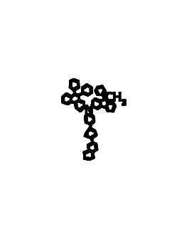 CC1(c2ccccc2)c2ccccc2-c2cc(N(c3ccc(-c4ccc(-c5ccc6ccccc6c5)cc4)cc3)c3ccc4c(c3)c(-c3ccccc3)c(-c3ccccc3)c3ccccc34)ccc21